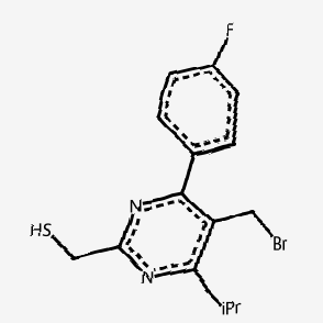 CC(C)c1nc(CS)nc(-c2ccc(F)cc2)c1CBr